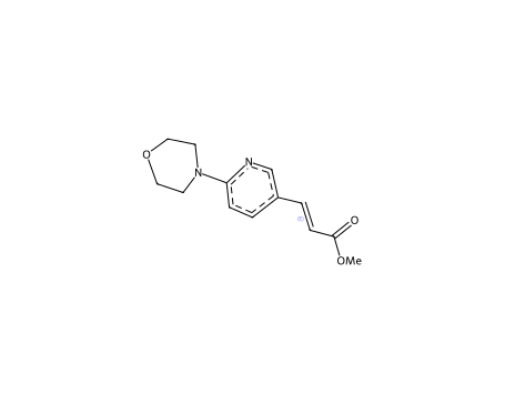 COC(=O)/C=C/c1ccc(N2CCOCC2)nc1